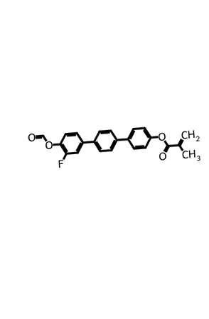 C=C(C)C(=O)Oc1ccc(-c2ccc(-c3ccc(OC=O)c(F)c3)cc2)cc1